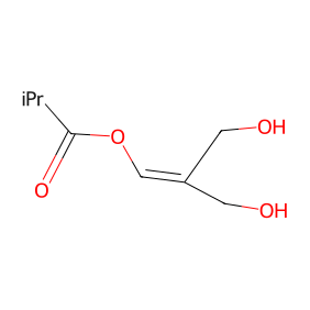 CC(C)C(=O)OC=C(CO)CO